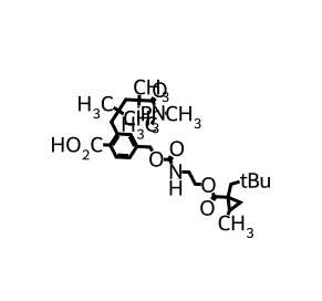 CC(C)C(C)(CC(C)(C)Cc1cc(COC(=O)NCCOC(=O)C2(CC(C)(C)C)CC2C)ccc1C(=O)O)C(=O)N(C)C